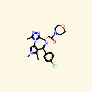 Cc1c2c(cn1C)-n1c(C)nnc1[C@H](CC(=O)N1CCOCC1)N=C2c1ccc(Cl)cc1